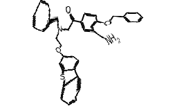 Nc1cc(C(=O)CN(CCOc2ccc3c(c2)sc2ccccc23)Cc2ccccc2)ccc1OCc1ccccc1